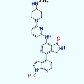 CNC1CCN(c2cccc(Nc3cnc(-c4ccnc5c4ccn5C)c4c3C(=O)NC4)n2)CC1